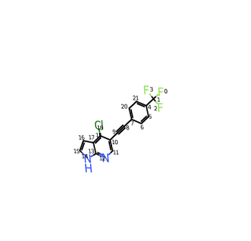 FC(F)(F)c1ccc(C#Cc2cnc3[nH]ccc3c2Cl)cc1